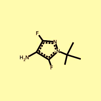 CC(C)(C)n1nc(F)c(N)c1F